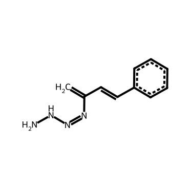 C=C(/C=C/c1ccccc1)/N=N\NN